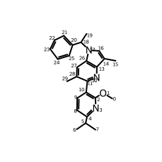 COc1nc(C(C)C)ccc1-c1nc2c(C)cn(C(C)c3ccccc3)c2cc1C